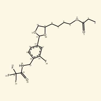 CCC(=O)OCCCCC1COC(c2ccc(CNC(=O)C(F)(F)F)c(F)c2)O1